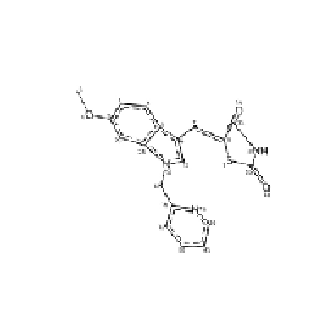 COc1ccc2c(/C=C3\SC(=O)NC3=O)cn(Cc3ccccn3)c2c1